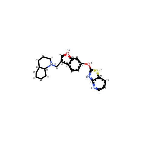 c1cnc2nc(Oc3ccc4c(CN5CCCC6CCCCC65)coc4c3)sc2c1